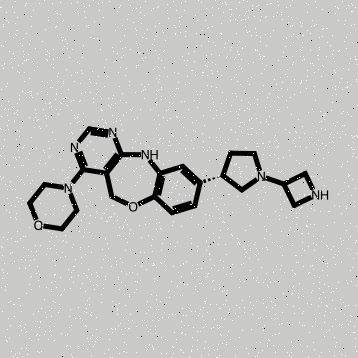 c1nc2c(c(N3CCOCC3)n1)COc1ccc([C@@H]3CCN(C4CNC4)C3)cc1N2